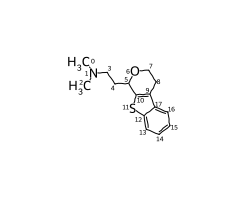 CN(C)CCC1OCCc2c1sc1ccccc21